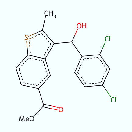 COC(=O)c1ccc2sc(C)c(C(O)c3ccc(Cl)cc3Cl)c2c1